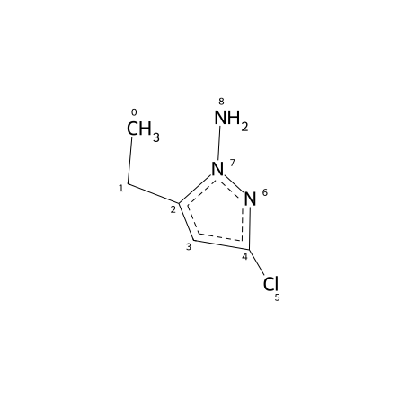 CCc1cc(Cl)nn1N